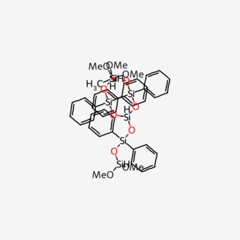 CO[SiH](C)O[Si](O[SiH](O[Si](O[SiH](OC)OC)(c1ccccc1)c1ccccc1)O[Si](O[SiH](OC)OC)(c1ccccc1)c1ccccc1)(c1ccccc1)c1ccccc1